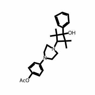 CC(=O)Oc1ccc(N2CCN(C3C(C)(C)C(O)(c4ccccc4)C3(C)C)CC2)cc1